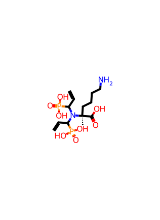 C=CC(N(C(C=C)P(=O)(O)O)[C@@](C)(CCCCN)C(=O)O)P(=O)(O)O